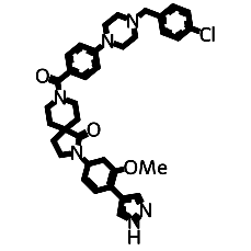 COC1=C(c2cn[nH]c2)C=CC(N2CCC3(CCN(C(=O)c4ccc(N5CCN(Cc6ccc(Cl)cc6)CC5)cc4)CC3)C2=O)C1